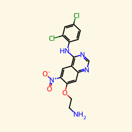 NCCOc1cc2ncnc(Nc3ccc(Cl)cc3Cl)c2cc1[N+](=O)[O-]